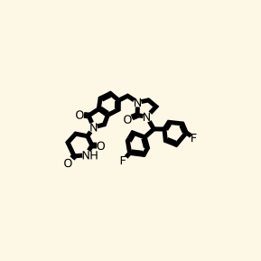 O=C1CCC(N2Cc3cc(CN4CCN(C(c5ccc(F)cc5)c5ccc(F)cc5)C4=O)ccc3C2=O)C(=O)N1